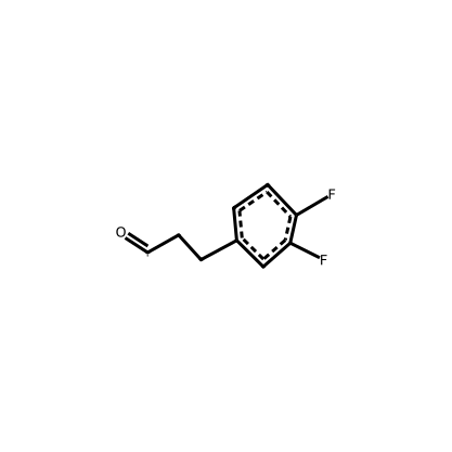 O=[C]CCc1ccc(F)c(F)c1